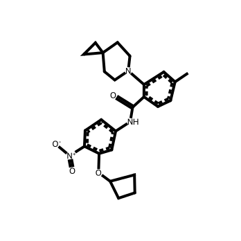 Cc1ccc(C(=O)Nc2ccc([N+](=O)[O-])c(OC3CCC3)c2)c(N2CCC3(CC2)CC3)c1